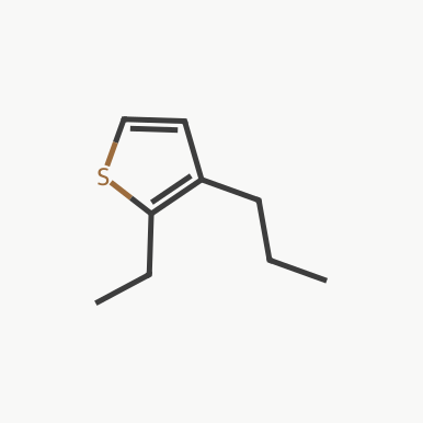 CCCc1ccsc1CC